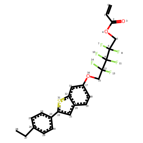 C=CC(=O)OCC(F)(F)C(F)(F)C(F)(F)COc1ccc2cc(-c3ccc(CC)cc3)sc2c1